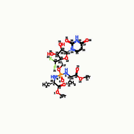 CC(C)OC(=O)[C@H](C)NP(=O)(N[C@@H](C)C(=O)OC(C)C)OC[C@@]1(C(F)F)O[C@@H](n2ccc(=O)[nH]c2=O)[C@H](O)[C@@H]1O